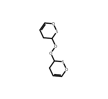 C1=COSC(OOC2CC=COS2)C1